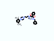 Cc1ccc(C)c(N2CCN(CCCNC(=O)C(C)(C(=O)NCc3ccccc3)c3ccccc3)CC2)c1